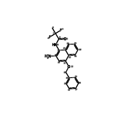 CC(F)(F)C(=O)Nc1c(N)cc(OCc2ccccc2)c2ccccc12